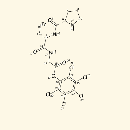 CC(C)C[C@H](NC(=O)[C@@H]1CCCN1)C(=O)NCC(=O)Oc1c(Cl)c(Cl)c(Cl)c(Cl)c1Cl